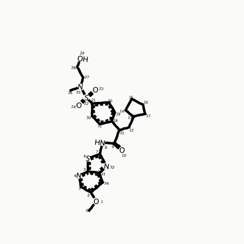 COc1cnc2sc(NC(=O)C(CC3CCCC3)c3ccc(S(=O)(=O)N(C)CCO)cc3)nc2c1